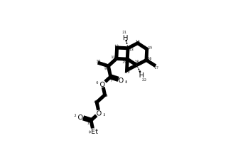 CCC(=O)OCCOC(=O)C(C)C1C[C@H]2CCC(C)[C@H]3CC123